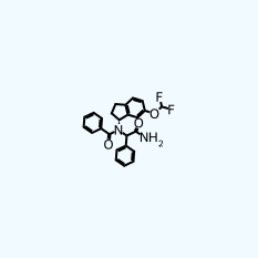 NC(=O)C(c1ccccc1)N(C(=O)c1ccccc1)[C@@H]1CCc2ccc(OC(F)F)cc21